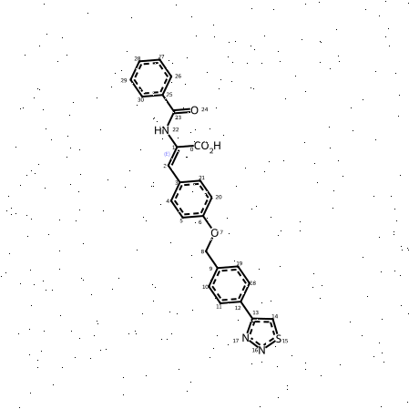 O=C(O)/C(=C\c1ccc(OCc2ccc(-c3csnn3)cc2)cc1)NC(=O)c1ccccc1